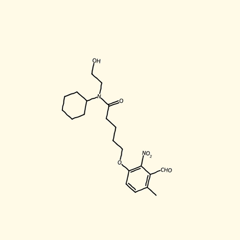 Cc1ccc(OCCCCC(=O)N(CCO)C2CCCCC2)c([N+](=O)[O-])c1C=O